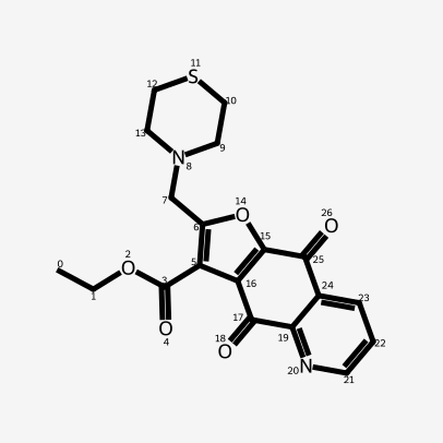 CCOC(=O)c1c(CN2CCSCC2)oc2c1C(=O)c1ncccc1C2=O